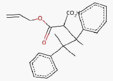 C=CCOC(=O)C(C(=O)O)C(C)(c1ccccc1)C(C)(C)c1ccccc1